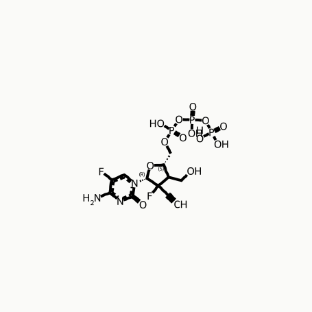 C#CC1(F)C(CO)[C@@H](COP(=O)(O)OP(=O)(O)OP(=O)(O)O)O[C@H]1n1cc(F)c(N)nc1=O